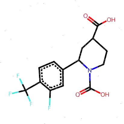 O=C(O)C1CCN(C(=O)O)C(c2ccc(C(F)(F)F)c(F)c2)C1